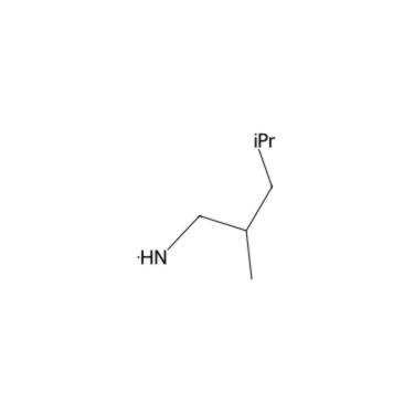 CC(C)CC(C)C[NH]